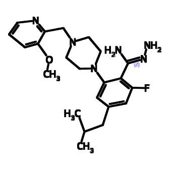 COc1cccnc1CN1CCN(c2cc(CC(C)C)cc(F)c2/C(N)=N/N)CC1